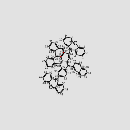 c1ccc2c(c1)Oc1ccccc1N2c1ccc2c(-c3ccccc3-c3cccc4ccccc34)c3cc(N4c5ccccc5Oc5ccccc54)ccc3c(-c3ccc4ccccc4c3)c2c1